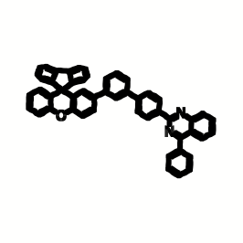 c1ccc(-c2nc(-c3ccc(-c4cccc(-c5ccc6c(c5)C5(c7ccccc7O6)c6ccccc6-c6ccccc65)c4)cc3)nc3ccccc23)cc1